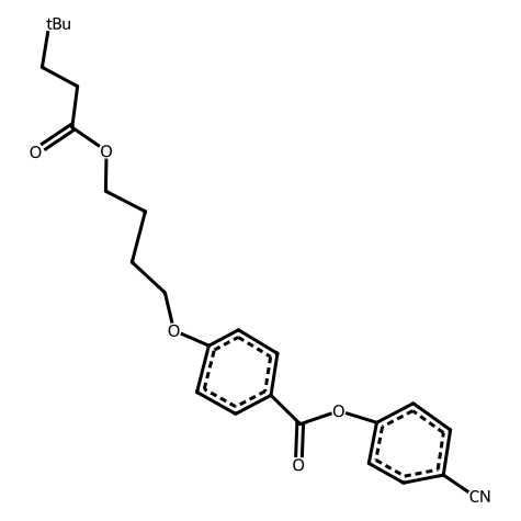 CC(C)(C)CCC(=O)OCCCCOc1ccc(C(=O)Oc2ccc(C#N)cc2)cc1